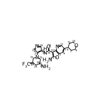 Nc1oc2cc(C3CCOCC3)cnc2c1C(=O)Nc1cnsc1N1C[C@H](N)C[C@@H](C(F)(F)F)C1